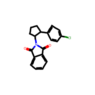 O=C1c2ccccc2C(=O)N1C1CCCC1c1ccc(Cl)cc1